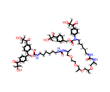 CC(COCCOCC(C)OCC(C)OCC(C)NC(=O)NCCCCCCN(C(=O)OCc1ccc(C(=O)C(C)(C)O)cc1)c1ccc(C(=O)C(C)(C)O)cc1)NC(=O)NCCCCCCNC(=O)OC(c1ccc(C(=O)C(C)(C)O)cc1)c1ccc(C(=O)C(C)(C)O)cc1